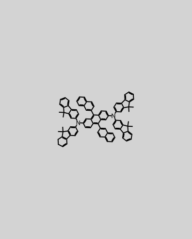 CC1(C)C2=C(C=CCC2)c2ccc(N(c3ccc4c(c3)C(C)(C)c3ccccc3-4)c3ccc4c(-c5ccc6ccccc6c5)c5cc(N(c6ccc7c(c6)C(C)(C)c6ccccc6-7)c6ccc7c(c6)C(C)(C)c6ccccc6-7)ccc5c(-c5ccc6ccccc6c5)c4c3)cc21